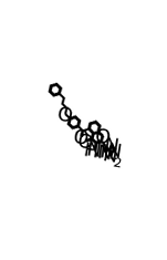 Nc1c(-c2nnn[nH]2)oc2cccc(C(=O)c3ccc(OCCCc4ccccc4)cc3)c2c1=O